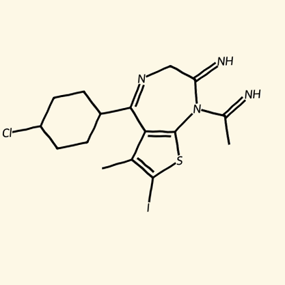 CC(=N)N1C(=N)CN=C(C2CCC(Cl)CC2)c2c1sc(I)c2C